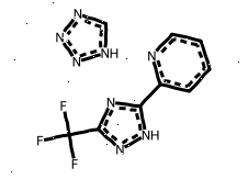 FC(F)(F)c1n[nH]c(-c2ccccn2)n1.c1nnn[nH]1